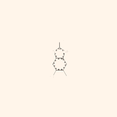 CCCCc1cc2nc(C(=O)OCC)[nH]c2cc1C